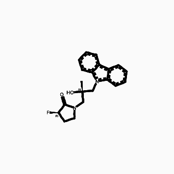 C[C@](O)(CN1CC[C@@H](F)C1=O)Cn1c2ccccc2c2ccccc21